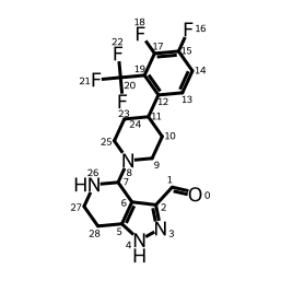 O=Cc1n[nH]c2c1C(N1CCC(c3ccc(F)c(F)c3C(F)(F)F)CC1)NCC2